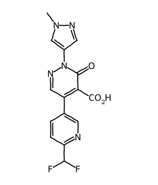 Cn1cc(-n2ncc(-c3ccc(C(F)F)nc3)c(C(=O)O)c2=O)cn1